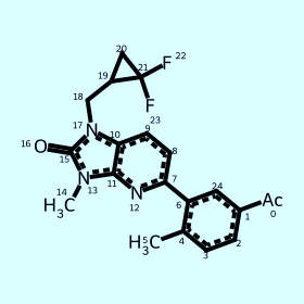 CC(=O)c1ccc(C)c(-c2ccc3c(n2)n(C)c(=O)n3CC2CC2(F)F)c1